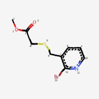 COC(=O)CSCc1cccnc1Br